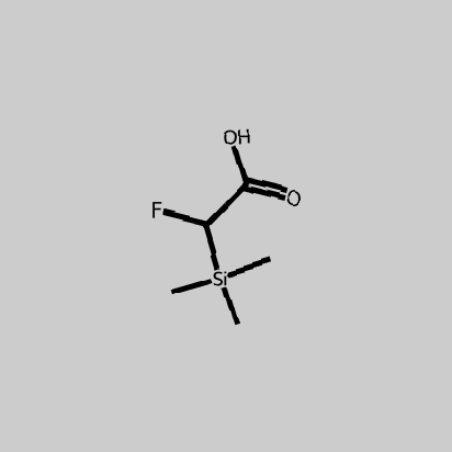 C[Si](C)(C)C(F)C(=O)O